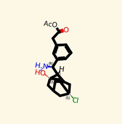 CC(=O)OC(=O)Cc1cccc([C@H](N)[C@H]2C3CC4C[C@](Cl)(C3)C[C@@]2(O)C4)c1